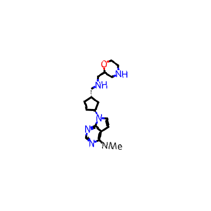 CNc1ncnc2c1ccn2[C@H]1CC[C@H](CNCC2CNCCO2)C1